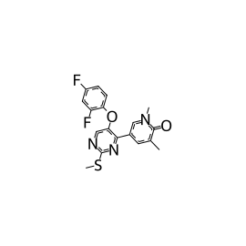 CSc1ncc(Oc2ccc(F)cc2F)c(-c2cc(C)c(=O)n(C)c2)n1